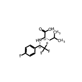 CC(C)C[C@H](N[C@@H](c1ccc(F)cc1)C(F)(F)F)C(=O)O